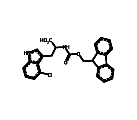 O=C(NC(Cc1c[nH]c2cccc(Cl)c12)C(=O)O)OCC1c2ccccc2-c2ccccc21